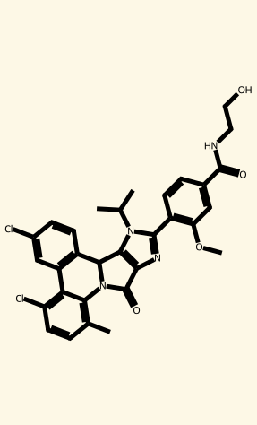 COc1cc(C(=O)NCCO)ccc1-c1nc2c(n1C(C)C)C1c3ccc(Cl)cc3-c3c(Cl)ccc(C)c3N1C2=O